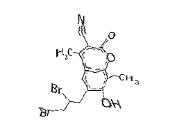 Cc1c(C#N)c(=O)oc2c(C)c(O)c(CC(Br)CBr)cc12